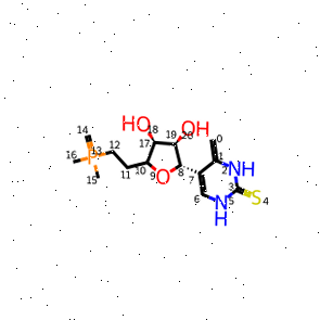 C=C1NC(=S)NC=C1[C@@H]1OC(CCP(=C)(C)C)[C@@H](O)[C@H]1O